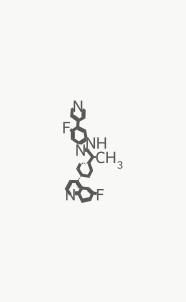 C[C@H](c1nc2cc(F)c(-c3ccncc3)cc2[nH]1)[C@H]1CC[C@@H](c2ccnc3ccc(F)cc32)CC1